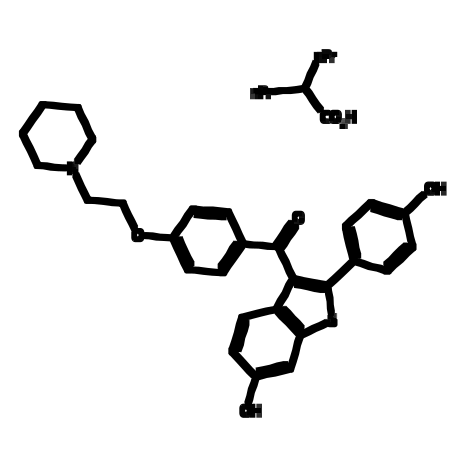 CCCC(CCC)C(=O)O.O=C(c1ccc(OCCN2CCCCC2)cc1)c1c(-c2ccc(O)cc2)sc2cc(O)ccc12